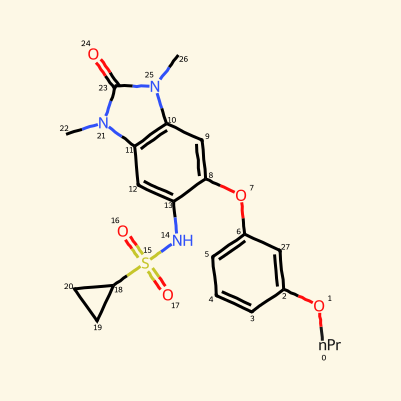 CCCOc1cccc(Oc2cc3c(cc2NS(=O)(=O)C2CC2)n(C)c(=O)n3C)c1